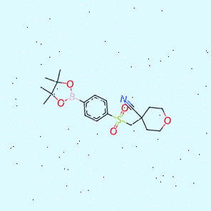 CC1(C)OB(c2ccc(S(=O)(=O)CC3(C#N)CCOCC3)cc2)OC1(C)C